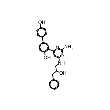 Nc1nc(NCC(O)Cc2ccccc2)cc(-c2cc(-c3ccc(O)cc3)ccc2O)n1